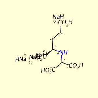 O=C(O)CC[C@@H](NC(C(=O)O)C(=O)O)C(=O)O.[NaH].[NaH].[NaH].[NaH]